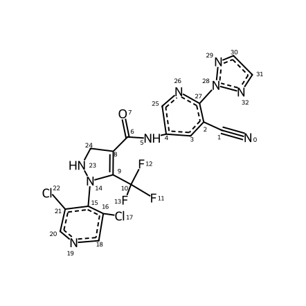 N#Cc1cc(NC(=O)C2=C(C(F)(F)F)N(c3c(Cl)cncc3Cl)NC2)cnc1-n1nccn1